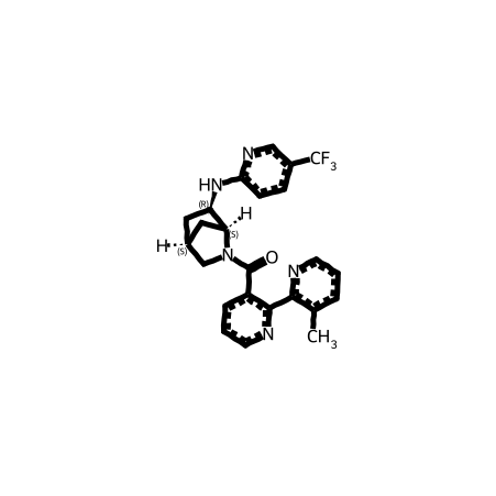 Cc1cccnc1-c1ncccc1C(=O)N1C[C@H]2C[C@@H](Nc3ccc(C(F)(F)F)cn3)[C@@H]1C2